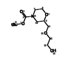 CC(C)(C)OC(=O)N1CCOC(COCCO)C1